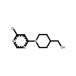 OCC1CCN(c2cc(Cl)ncn2)CC1